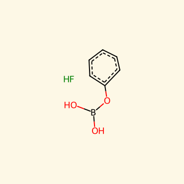 F.OB(O)Oc1ccccc1